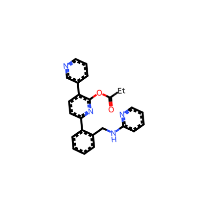 CCC(=O)Oc1nc(-c2ccccc2CNc2ccccn2)ccc1-c1cccnc1